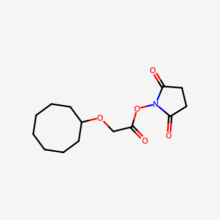 O=C(COC1CCCCCCC1)ON1C(=O)CCC1=O